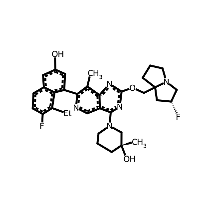 CCc1c(F)ccc2cc(O)cc(-c3ncc4c(N5CCC[C@@](C)(O)C5)nc(OCC56CCCN5C[C@H](F)C6)nc4c3C)c12